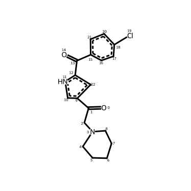 O=C(CN1CCCCC1)c1c[nH]c(C(=O)c2ccc(Cl)cc2)c1